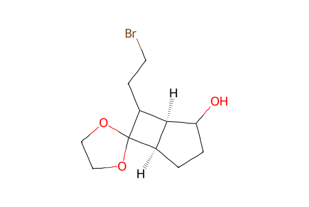 OC1CC[C@@H]2[C@H]1C(CCBr)C21OCCO1